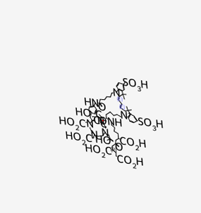 C=C(O)CN1CCN(CC(=O)O)CCN(CC(=O)O)C(Cc2ccc(NC(=O)CCCCCN3/C(=C/C=C/C4=[N+](CCCCCC(=O)NCCCCC(CC(=O)C[C@@H](CCC(=O)O)C(=O)O)C(=O)O)c5ccc(S(=O)(=O)O)cc5C4(C)C)C(C)(C)c4cc(S(=O)(=O)O)ccc43)cc2)CN(CC(=O)O)CC1